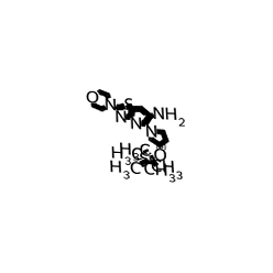 CC(C)(C)[Si](C)(C)O[C@H]1CCN(c2nc3nc(N4CCOCC4)sc3cc2N)C1